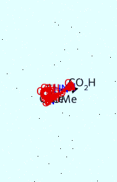 CC[C@@H]1OC(=O)[C@H](C)[C@H](O[C@@H]2C[C@@](C)(OC)[C@H](OC(=O)CCOCCNc3ccc4c(c3)c(=O)c(C(=O)O)cn4C3CC3)[C@H](C)O2)[C@@H](C)[C@H](O[C@@H]2O[C@H](C)C[C@H](N(C)C)[C@@H]2O)C(C)(OC)C[C@H](C)C(=O)[C@H](C)[C@@H](O)C1(C)O